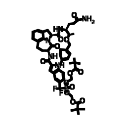 Cc1ccc(CO[C@H](C)[C@H](CCC(N)=O)NC(=O)[C@@H]2Cc3cccc4c3N2C(=O)[C@@H](NC(=O)c2cc3cc(C(F)(F)P(=O)(OCOC(=O)C(C)(C)C)OCOC(=O)C(C)(C)C)ccc3[nH]2)CC4)cc1